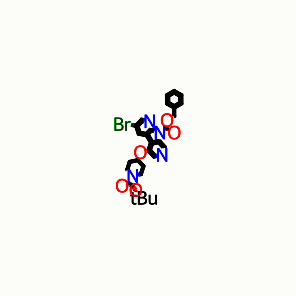 CC(C)(C)OC(=O)N1CCC(Oc2cncc3c2c2cc(Br)cnc2n3C(=O)OCc2ccccc2)CC1